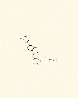 Cc1cncc(-c2ccc(-c3cc4cnc(C)nc4n(CCCC(N)=O)c3=O)c(Cl)c2)n1